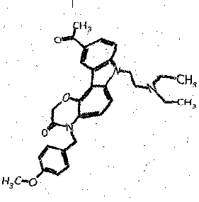 CCN(CC)CCn1c2ccc(C(C)=O)cc2c2c3c(ccc21)N(Cc1ccc(OC)cc1)C(=O)CO3